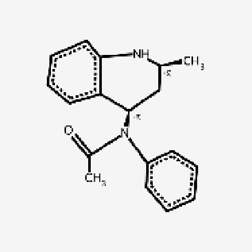 CC(=O)N(c1ccccc1)[C@@H]1C[C@H](C)Nc2ccccc21